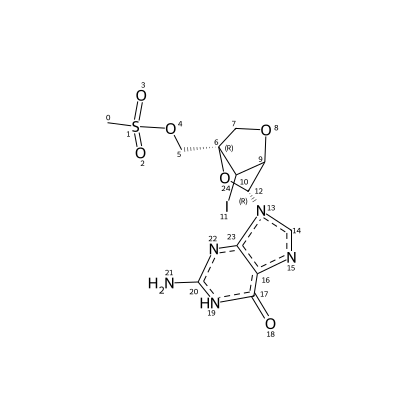 CS(=O)(=O)OC[C@]12COC(C1I)[C@H](n1cnc3c(=O)[nH]c(N)nc31)O2